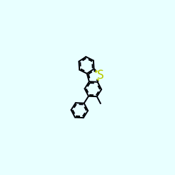 Cc1cc2sc3ccccc3c2cc1-c1ccccc1